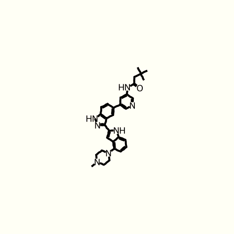 CN1CCN(c2cccc3[nH]c(-c4n[nH]c5ccc(-c6cncc(NC(=O)CC(C)(C)C)c6)cc45)cc23)CC1